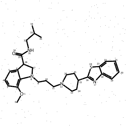 COc1cccc2c1N(CCCN1CCC(c3nc4ccccc4s3)CC1)CC2C(=O)NCC(C)C